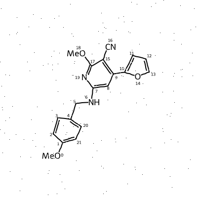 COc1ccc(CNc2cc(-c3ccco3)c(C#N)c(OC)n2)cc1